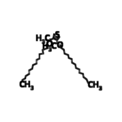 CCCCCCCCCCCCCCCCOC(C)c1cscc1C(C)OCCCCCCCCCCCCCCCC